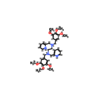 COc1cc(CN(CCN(Cc2cc(OC)c(OC)c(OC)c2)Cc2ccccn2)Cc2ccccn2)cc(OC)c1OC